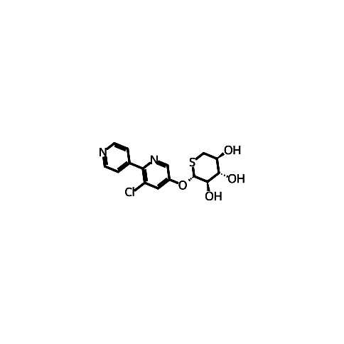 O[C@@H]1[C@@H](O)[C@H](Oc2cnc(-c3ccncc3)c(Cl)c2)SC[C@H]1O